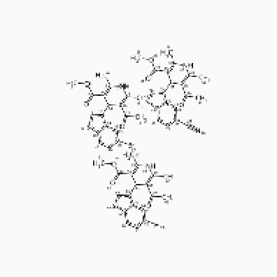 COC(=O)C1=C(C)NC(C)=C(C(C)=O)C1c1csc2ccc(Br)cc12.COC(=O)C1=C(C)NC(C)=C(C(C)=O)C1c1csc2ccc(C#N)cc12.COC(=O)C1=C(C)NC(C)=C(C(C)=O)C1c1csc2ccc(F)cc12